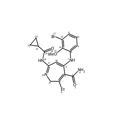 CCC1=C(C(N)=O)C(Nc2cccc(Br)c2OC)=CC(NC(=O)C2CC2)=NC1